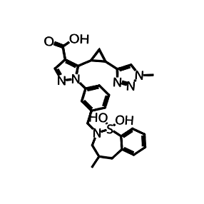 CC1Cc2ccccc2S(O)(O)N(Cc2cccc(-n3ncc(C(=O)O)c3C3CC3c3cn(C)nn3)c2)C1